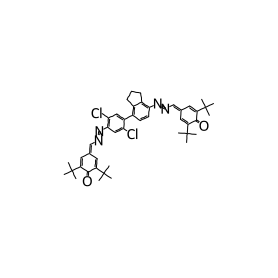 CC(C)(C)C1=CC(=C/N=N/c2cc(Cl)c(-c3ccc(/N=N/C=C4C=C(C(C)(C)C)C(=O)C(C(C)(C)C)=C4)c4c3CCC4)cc2Cl)C=C(C(C)(C)C)C1=O